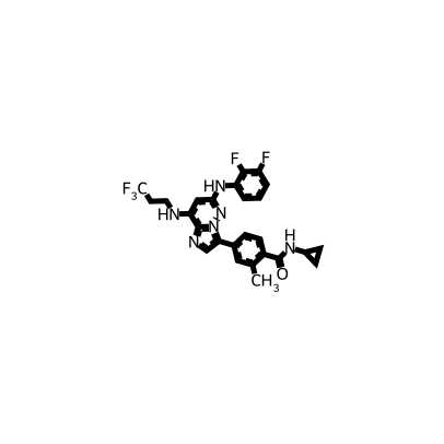 Cc1cc(-c2cnc3c(NCCC(F)(F)F)cc(Nc4cccc(F)c4F)nn23)ccc1C(=O)NC1CC1